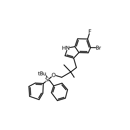 CC(C)(CO[Si](c1ccccc1)(c1ccccc1)C(C)(C)C)Cc1c[nH]c2cc(F)c(Br)cc12